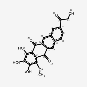 COc1c(O)c(O)c(O)c2c1C(=O)c1cc3ccc(C(=O)CO)cc3cc1C2=O